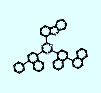 c1ccc(-c2ccc(-c3nc(-c4ccc(-c5cccc6ccccc56)c5ccccc45)nc(-c4cccc5c4oc4ccccc45)n3)c3ccccc23)cc1